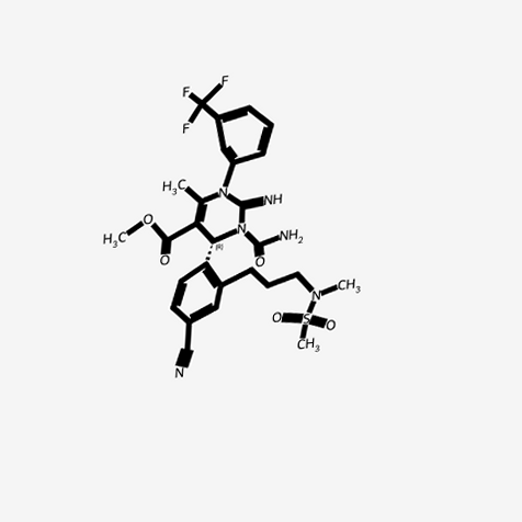 COC(=O)C1=C(C)N(c2cccc(C(F)(F)F)c2)C(=N)N(C(N)=O)[C@@H]1c1ccc(C#N)cc1CCCN(C)S(C)(=O)=O